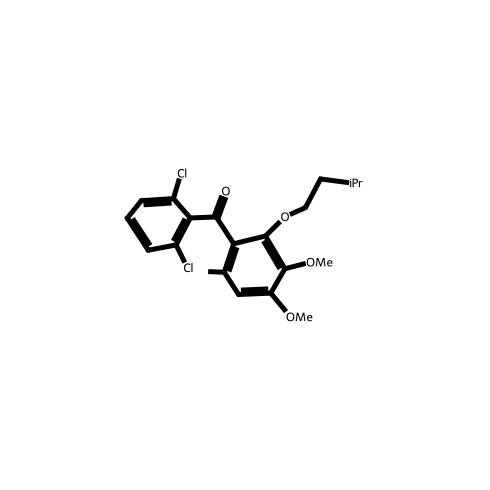 COc1cc(C)c(C(=O)c2c(Cl)cccc2Cl)c(OCCC(C)C)c1OC